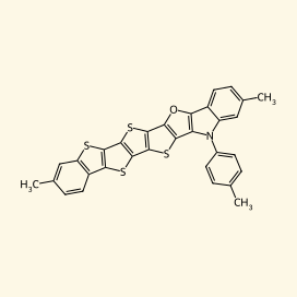 Cc1ccc(-n2c3cc(C)ccc3c3oc4c5sc6c7sc8cc(C)ccc8c7sc6c5sc4c32)cc1